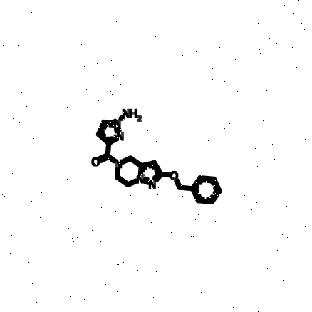 Nn1ccc(C(=O)N2CCn3nc(OCc4ccccc4)cc3C2)n1